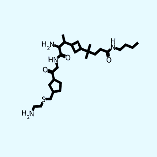 CCCCNC(=O)CCC(C)(C)C1CC(C(C)C(N)C(=O)NCC(=O)C2CCC(CSCCN)C2)C1